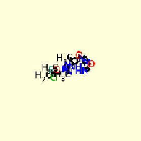 C=C(Cl)/C(F)=C(\C=C/CCn1ccnc(NC2=CC(C)CC(C(=O)N3CCCN(C(=O)[C@H]4CCNC4)CC3)C=C2)/c1=N/C)OC